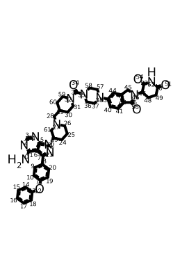 Nc1ncnc2c1c(-c1ccc(Oc3ccccc3)cc1)nn2C1CCCN(CC2CCN(C(=O)N3CCN(c4ccc5c(c4)CN(C4CCC(=O)NC4=O)C5=O)CC3)CC2)C1